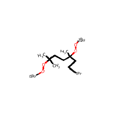 C[C](C)CCC(C)(CCC(C)(C)OOC(C)(C)C)OOC(C)(C)C